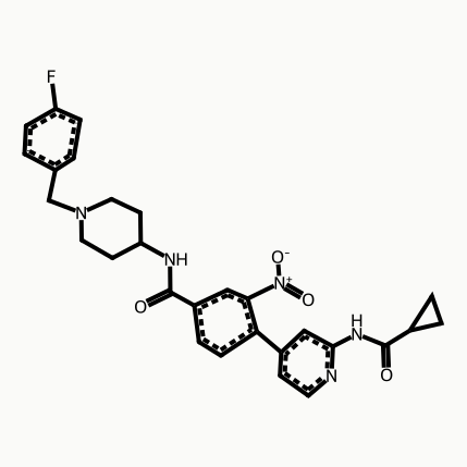 O=C(NC1CCN(Cc2ccc(F)cc2)CC1)c1ccc(-c2ccnc(NC(=O)C3CC3)c2)c([N+](=O)[O-])c1